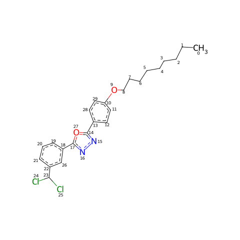 CCCCCCCCCOc1ccc(-c2nnc(-c3cccc(C(Cl)Cl)c3)o2)cc1